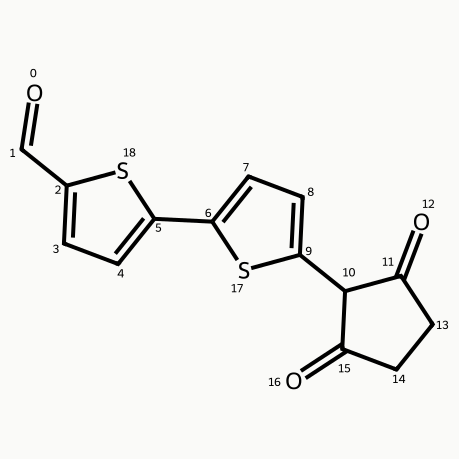 O=Cc1ccc(-c2ccc(C3C(=O)CCC3=O)s2)s1